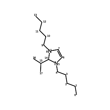 CCCCCN1C=CN(CCCCC)C1C(C)C